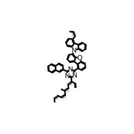 C=C\C(=C/C=C(C)/C=C\C=C/C)c1nc(-c2ccc3ccccc3c2)nc(-c2cccc3oc4c(-n5c6ccccc6c6c(/C=C\C)cccc65)cccc4c23)n1